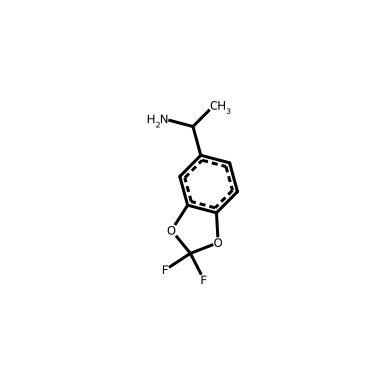 CC(N)c1ccc2c(c1)OC(F)(F)O2